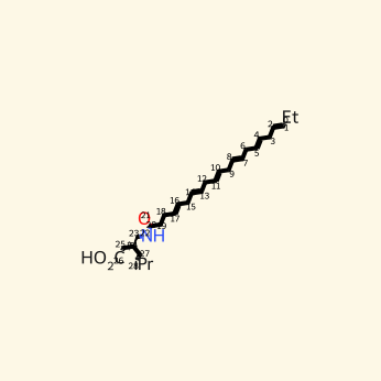 CCC=CCC=CCC=CCC=CCC=CCC=CCCC(=O)NC[C@H](CC(=O)O)CC(C)C